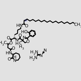 CCCCCCCCCCCCCCCCC/C=C\C(=O)NCCCC[C@H](NC(=O)[C@]1(C)COC(c2ccccc2O)=N1)C(=O)O[C@H](C)CC(=O)N[C@H]1CCCCNC1=O.N#CN=C(N)N